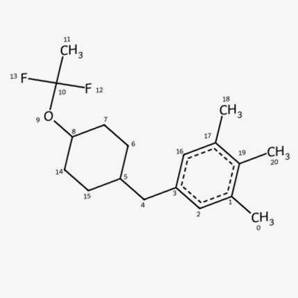 Cc1cc(CC2CCC(OC(C)(F)F)CC2)cc(C)c1C